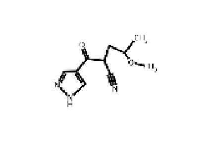 COC(C)CC(C#N)C(=O)c1cn[nH]c1